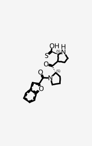 O=C(C1CCN[C@@H]1C(O)=S)[C@@H]1CCCN1C(=O)c1cc2ccccc2o1